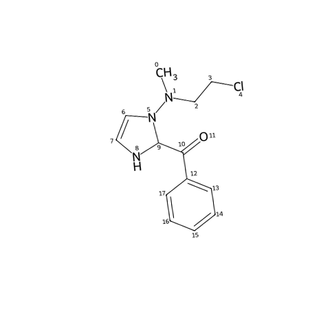 CN(CCCl)N1C=CNC1C(=O)c1ccccc1